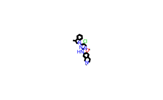 COc1cc2c(cc1Nc1ncc(Cl)c(N3CC(C)c4ccccc43)n1)CN(C)CC2